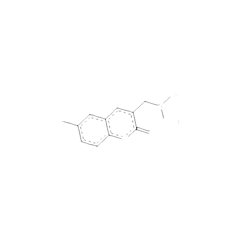 CC(C)(C)N(Cc1cc2cc(Cl)ccc2oc1=O)C(=O)O